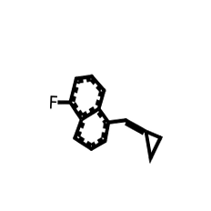 Fc1cccc2c(C=C3CC3)cccc12